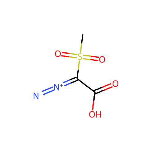 CS(=O)(=O)C(=[N+]=[N-])C(=O)O